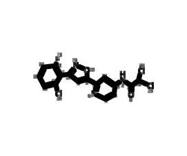 O=C(Nc1ccnc(-c2cc(-c3c(F)cccc3Cl)no2)c1)C(Cl)Cl